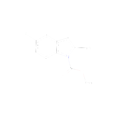 CC(C)c1cc2cc(F)ccc2n1C(=O)OC(C)(C)C